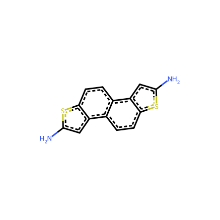 Nc1cc2c(ccc3c4cc(N)sc4ccc23)s1